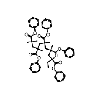 CCC(C)(CC(C)(CC(C)(CC(C)(CC(C)(C)C(=O)Oc1ccccc1)C(=O)Oc1ccccc1)C(=O)Oc1ccccc1)C(=O)Oc1ccccc1)C(=O)Oc1ccccc1